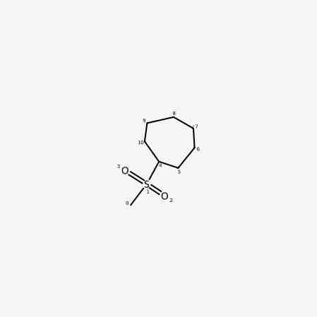 CS(=O)(=O)C1CC[CH]CCC1